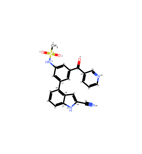 CS(=O)(=O)Nc1cc(C(=O)c2cccnc2)cc(-c2cccc3[nH]c(C#N)cc23)c1